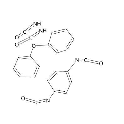 N=C=O.N=C=O.O=C=Nc1ccc(N=C=O)cc1.c1ccc(Oc2ccccc2)cc1